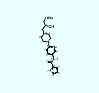 CC(C)COCC(O)CN1CCN(c2ccc(NC(=O)c3cccs3)cn2)CC1